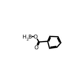 BOC(=O)c1ccccc1